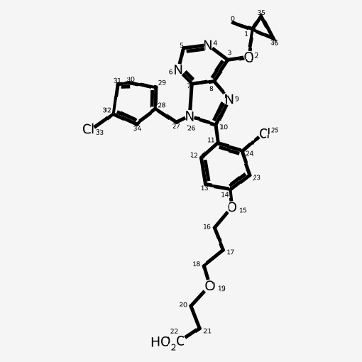 CC1(Oc2ncnc3c2nc(-c2ccc(OCCCOCCC(=O)O)cc2Cl)n3Cc2cccc(Cl)c2)CC1